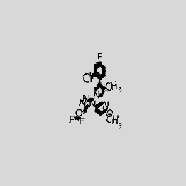 COc1ccc(-n2c(COC(F)F)nnc2N2C[C@H](c3ccc(F)cc3Cl)[C@@H](C)C2)cn1